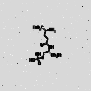 CCOC(=O)C(N)CCC(=O)N[C@@H](CSP(=O)(O)O)C(=O)OCC